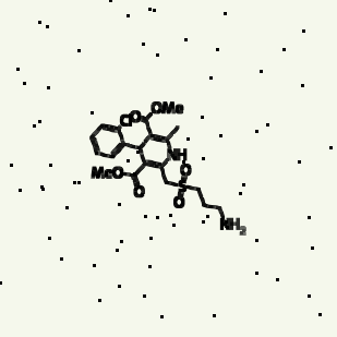 COC(=O)C1=C(C)NC(CS(=O)(=O)CCCN)=C(C(=O)OC)C1c1ccccc1Cl